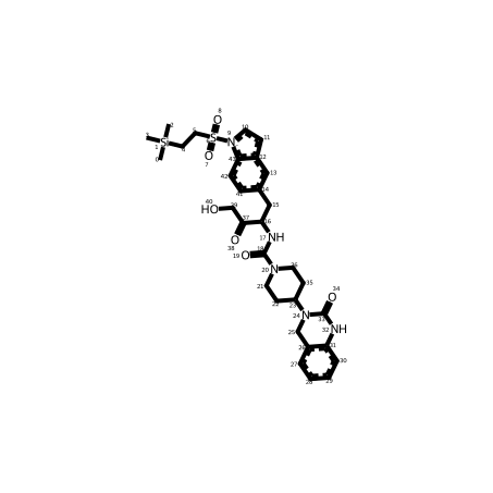 C[Si](C)(C)CCS(=O)(=O)n1ccc2cc(CC(NC(=O)N3CCC(N4Cc5ccccc5NC4=O)CC3)C(=O)CO)ccc21